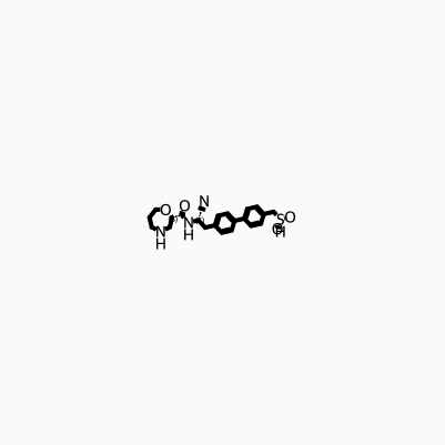 N#C[C@H](Cc1ccc(-c2ccc(C[SH](=O)=O)cc2)cc1)NC(=O)[C@@H]1CNCCCO1